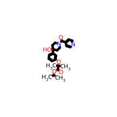 CC(C)OC(=O)C(C)(C)Oc1cccc(C2(O)CCN(C(=O)c3ccncc3)CC2)c1